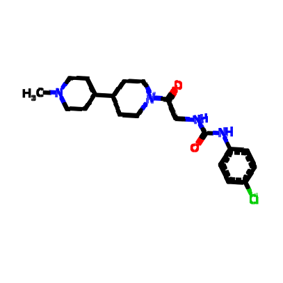 CN1CCC(C2CCN(C(=O)CNC(=O)Nc3ccc(Cl)cc3)CC2)CC1